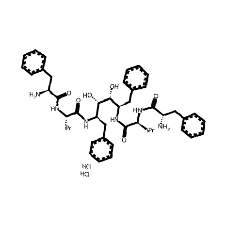 CC(C)[C@H](NC(=O)[C@@H](N)Cc1ccccc1)C(=O)N[C@H](Cc1ccccc1)[C@H](O)[C@H](O)[C@@H](Cc1ccccc1)NC(=O)[C@@H](NC(=O)[C@@H](N)Cc1ccccc1)C(C)C.Cl.Cl